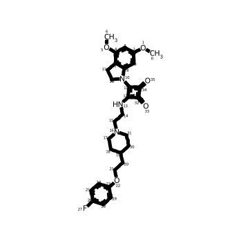 COc1cc(OC)c2c(c1)N(c1c(NCCN3CCC(CCOc4ccc(F)cc4)CC3)c(=O)c1=O)CC2